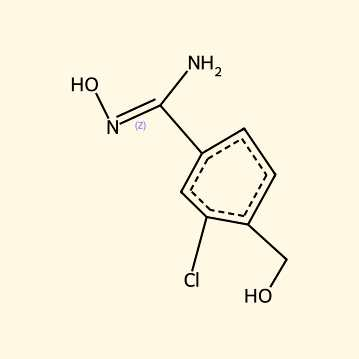 N/C(=N\O)c1ccc(CO)c(Cl)c1